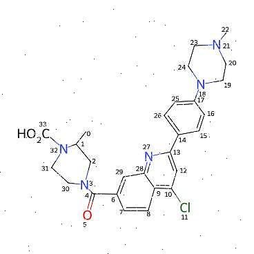 CC1CN(C(=O)c2ccc3c(Cl)cc(-c4ccc(N5CCN(C)CC5)cc4)nc3c2)CCN1C(=O)O